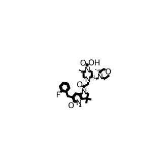 C[C@@H]1COCCN1C[C@H]1CN(C(=O)O)[C@H](C)CN1CC(=O)N1CC(C)(C)c2c1cc(Cc1ccccc1F)c(=O)n2C